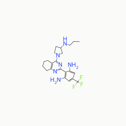 CCCNC1CCN(c2nc(-c3c(N)cc(C(F)(F)F)cc3N)nc3c2CCCC3)C1